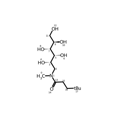 CN(C[C@H](O)[C@@H](O)[C@H](O)[C@H](O)CO)C(=O)CCC(C)(C)C